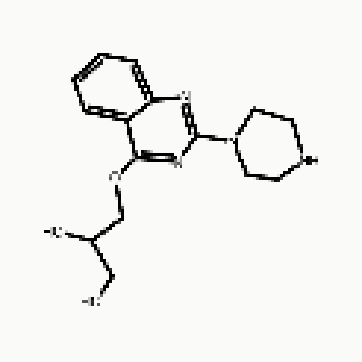 OCC(O)COc1nc(N2CCNCC2)nc2ccccc12